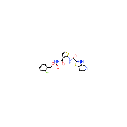 O=C(NC(=O)c1ccsc1NC(=O)C1Nc2cnccc2S1)OCc1ccccc1F